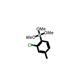 CO[Si](OC)(OC)c1ccc(C)cc1Cl